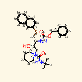 CC(C)(C)NC(=O)[N+]1(C[C@H](O)[C@H](CSc2ccc3ccccc3c2)NC(=O)OCc2ccccc2)CCCCC1